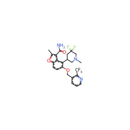 Cc1oc2ccc(OCc3cccnc3C(F)(F)F)c(C3CN(C)CC(F)(F)C3)c2c1C(N)=O